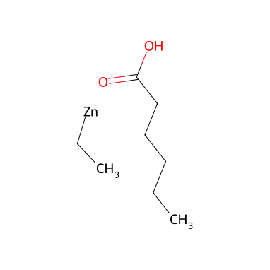 CCCCCC(=O)O.C[CH2][Zn]